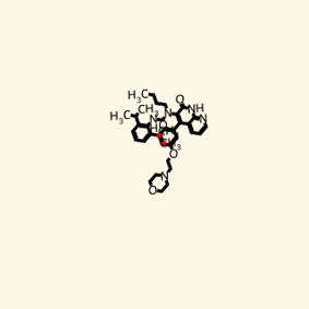 CCCCN(C(=O)Nc1c(C(C)C)cccc1C(C)C)c1c(-c2cccc(OCCN3CCOCC3)c2)c2cccnc2[nH]c1=O